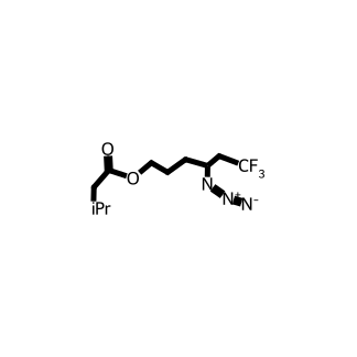 CC(C)CC(=O)OCCCC(CC(F)(F)F)N=[N+]=[N-]